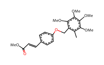 COC(=O)C=Cc1ccc(OCc2c(C)c(OC)c(OC)c(OC)c2OC)cc1